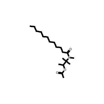 CCCCCCCCCCCC(=O)N(C)C(C)(C)C(C)OC(C)=O